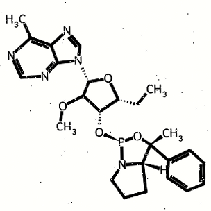 CC[C@H]1O[C@@H](n2cnc3c(C)ncnc32)C(OC)[C@H]1O[P@@]1O[C@](C)(c2ccccc2)[C@@H]2CCCN21